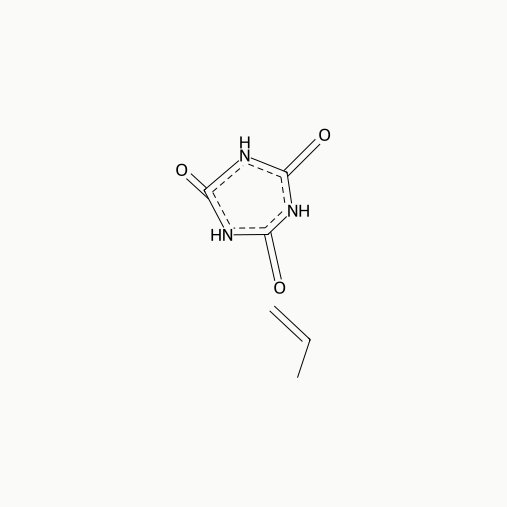 C=CC.O=c1[nH]c(=O)[nH]c(=O)[nH]1